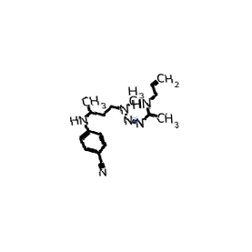 C=CCNC(C)/N=N\N(C)CCC(C)Nc1ccc(C#N)cc1